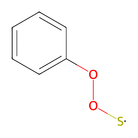 [S]OOc1ccccc1